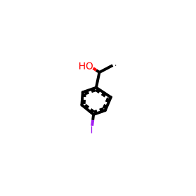 [CH2]C(O)c1ccc(I)cc1